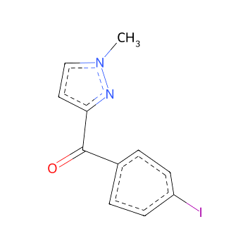 Cn1ccc(C(=O)c2ccc(I)cc2)n1